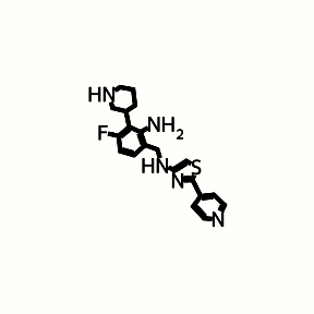 Nc1c(CNc2csc(-c3ccncc3)n2)ccc(F)c1C1CCCNC1